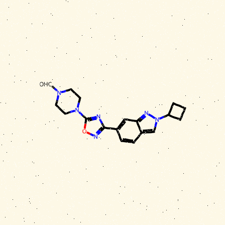 O=CN1CCN(c2nc(-c3ccc4cn(C5CCC5)nc4c3)no2)CC1